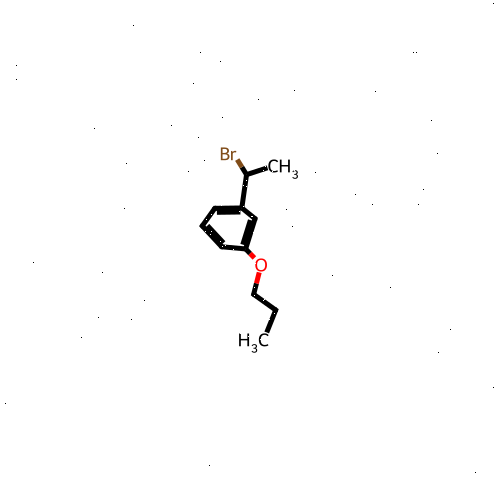 CCCOc1cccc(C(C)Br)c1